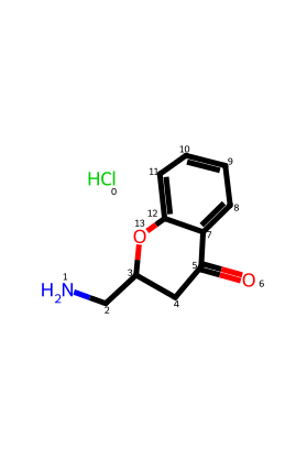 Cl.NCC1CC(=O)c2ccccc2O1